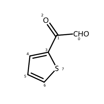 O=CC(=O)c1cccs1